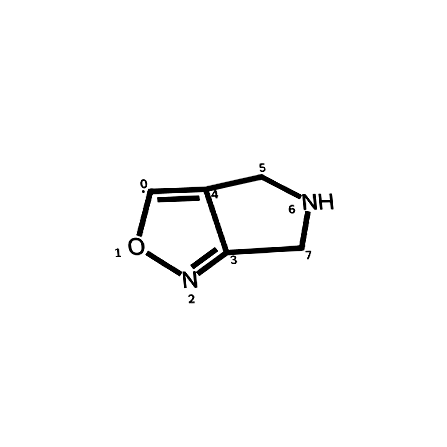 [c]1onc2c1CNC2